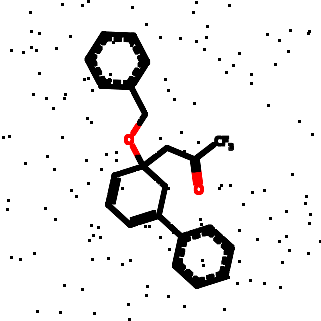 O=C(CC1(OCc2ccccc2)C=CC=C(c2ccccc2)C1)C(F)(F)F